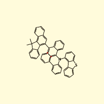 CC1(C)c2ccccc2-c2c(-c3ccc(N(c4ccccc4-c4ccccc4)c4cccc5sc6ccccc6c45)c4ccccc34)cc3ccccc3c21